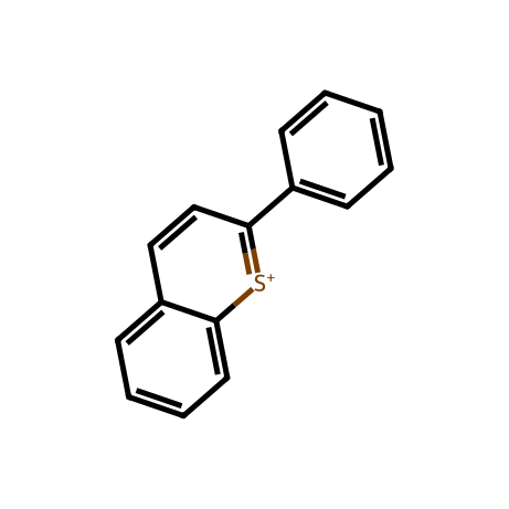 c1ccc(-c2ccc3ccccc3[s+]2)cc1